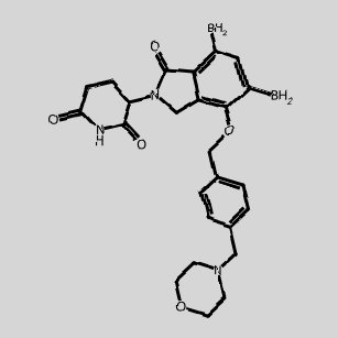 Bc1cc(B)c2c(c1OCc1ccc(CN3CCOCC3)cc1)CN(C1CCC(=O)NC1=O)C2=O